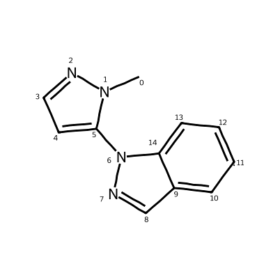 Cn1nccc1-n1ncc2c[c]ccc21